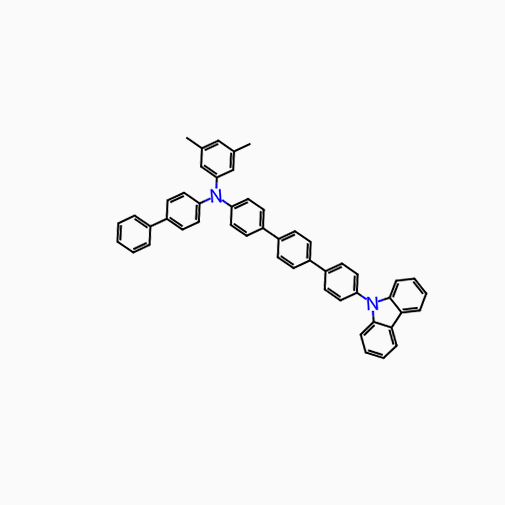 Cc1cc(C)cc(N(c2ccc(-c3ccccc3)cc2)c2ccc(-c3ccc(-c4ccc(-n5c6ccccc6c6ccccc65)cc4)cc3)cc2)c1